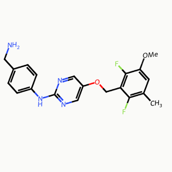 COc1cc(C)c(F)c(COc2cnc(Nc3ccc(CN)cc3)nc2)c1F